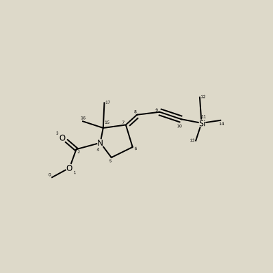 COC(=O)N1CC/C(=C\C#C[Si](C)(C)C)C1(C)C